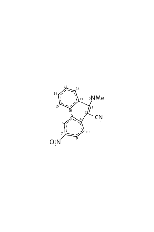 CNC(=C(C#N)c1ccc([N+](=O)[O-])cc1)c1ccccc1